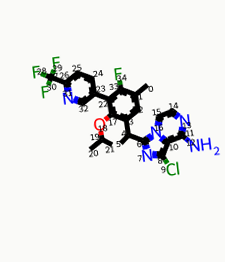 Cc1cc(C(C)c2nc(Cl)c3c(N)nccn23)c(OC(C)C)c(-c2ccc(C(F)(F)F)nc2)c1F